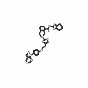 O=C(Nc1nc2ccccc2s1)c1cccc2c1CN(c1ncc(CCOc3ccc(-n4ncc5cncnc54)cc3)s1)CC2